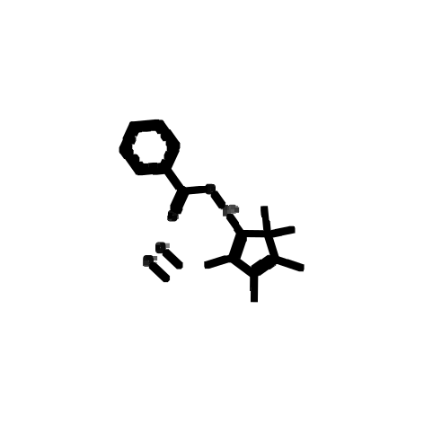 CC1=C(C)C(C)(C)[C]([Ti+2][O]C(=O)c2ccccc2)=C1C.C[O-].C[O-]